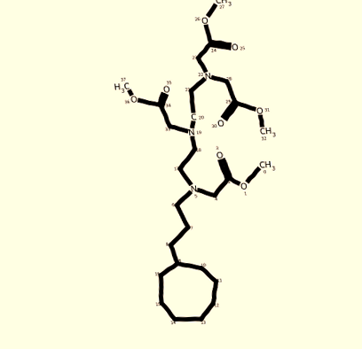 COC(=O)CN(CCCC1CCCCCCC1)CCN(CCN(CC(=O)OC)CC(=O)OC)CC(=O)OC